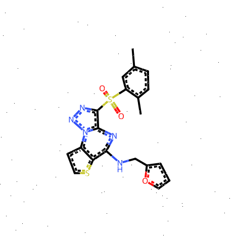 Cc1ccc(C)c(S(=O)(=O)c2nnn3c2nc(NCc2ccco2)c2sccc23)c1